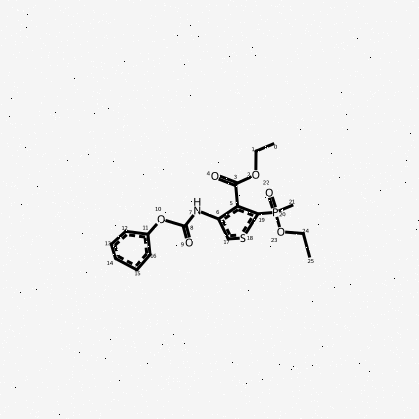 CCOC(=O)c1c(NC(=O)Oc2ccccc2)csc1P(C)(=O)OCC